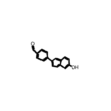 O=Cc1ccc(-c2ccc3cc(O)ccc3c2)cc1